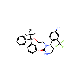 CC(C)(C)[Si](OCCN1C(=O)NCCC1c1ccc(N)cc1C(F)(F)F)(c1ccccc1)c1ccccc1